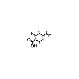 O=CC1CCN(C(=O)O)C(F)C1